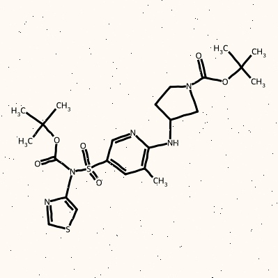 Cc1cc(S(=O)(=O)N(C(=O)OC(C)(C)C)c2cscn2)cnc1NC1CCN(C(=O)OC(C)(C)C)C1